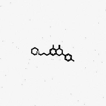 C=C1CC(c2ccc(C)cc2)Cc2cc(CCCN3CCCCC3)cc(C)c21